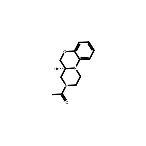 CC(=O)N1CCN2c3ccccc3OC[C@@H]2C1